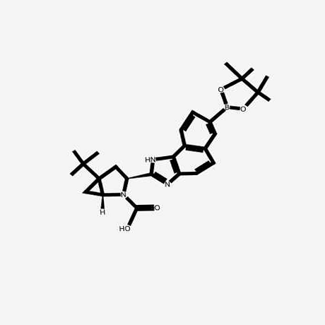 CC(C)(C)C12C[C@@H](c3nc4ccc5cc(B6OC(C)(C)C(C)(C)O6)ccc5c4[nH]3)N(C(=O)O)[C@@H]1C2